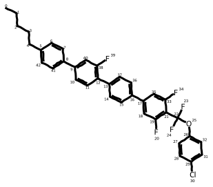 CCCCCc1ccc(-c2ccc(-c3ccc(-c4cc(F)c(C(F)(F)Oc5ccc(Cl)cc5)c(F)c4)cc3)c(F)c2)cc1